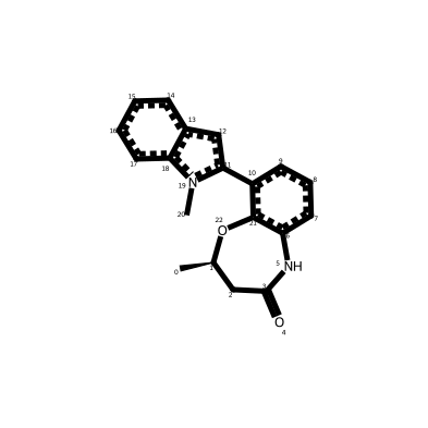 C[C@@H]1CC(=O)Nc2cccc(-c3cc4ccccc4n3C)c2O1